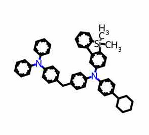 C[Si]1(C)c2ccccc2-c2cc(N(c3ccc(Cc4ccc(N(c5ccccc5)c5ccccc5)cc4)cc3)c3ccc(C4CCCCC4)cc3)ccc21